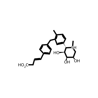 Cc1ccc([C@H]2[C@H](O)[C@H](O)[C@H](O)C[SH]2C)cc1Cc1ccc(/C=C/CC(=O)O)cc1